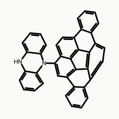 c1ccc2c(c1)Nc1ccccc1N2c1cc2c3ccccc3c3ccc4c5ccccc5c5ccc1c1c5c4c3c21